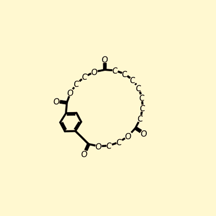 O=C1CCCCCCCC(=O)OCCOC(=O)c2ccc(cc2)C(=O)OCCO1